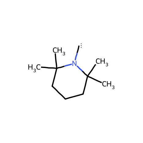 [C]N1C(C)(C)CCCC1(C)C